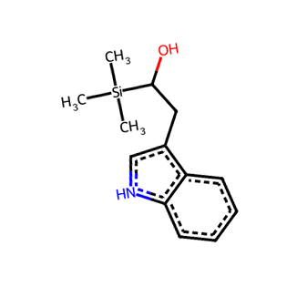 C[Si](C)(C)C(O)Cc1c[nH]c2ccccc12